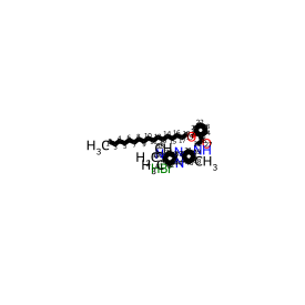 Br.CCCCCCCCCCCCCCCCCCOc1ccccc1C(=O)CNc1cc2nc3cc(N(C)C)c(C)cc3nc2cc1C